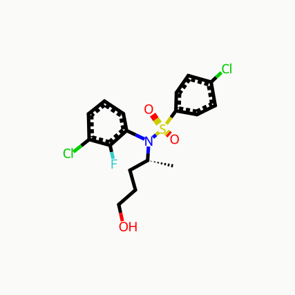 C[C@H](CCCO)N(c1cccc(Cl)c1F)S(=O)(=O)c1ccc(Cl)cc1